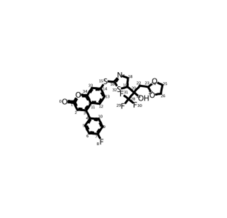 O=c1cc(-c2ccc(F)cc2)c2ccc(SC3=NCC(C(O)(CC4OCCO4)C(F)(F)F)S3)cc2o1